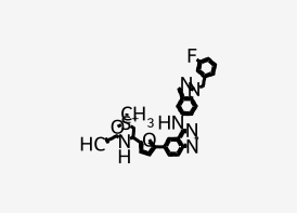 C#CCNC(C[S+](C)[O-])c1ccc(-c2ccc3ncnc(Nc4ccc5c(cnn5Cc5cccc(F)c5)c4)c3c2)o1